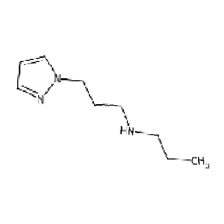 CCCNCCCn1cccn1